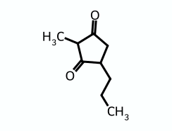 CCCC1CC(=O)C(C)C1=O